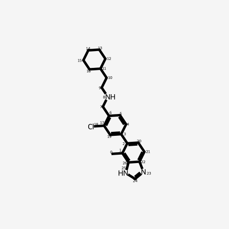 Cc1c(-c2ccc(CNCCC3CCCCC3)c(Cl)c2)ccc2nc[nH]c12